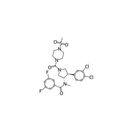 CN(C(=O)c1cc(F)cc(F)c1)[C@@H]1CN(C(=O)N2CCN(S(C)(=O)=O)CC2)C[C@H]1c1ccc(Cl)c(Cl)c1